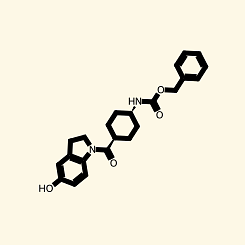 O=C(N[C@H]1CC[C@H](C(=O)N2CCc3cc(O)ccc32)CC1)OCc1ccccc1